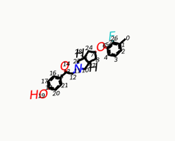 Cc1cccc(OC2C[C@@H]3CN(CC(=O)c4ccc(O)cc4)C[C@@H]3C2)c1F